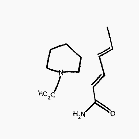 CC=CC=CC(N)=O.O=C(O)N1CCCCC1